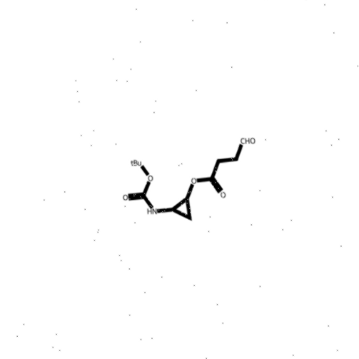 CC(C)(C)OC(=O)NC1CC1OC(=O)CCC=O